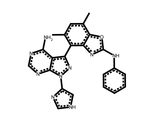 Cc1cc(C)c2oc(Nc3ccccc3)nc2c1-c1nn(-c2c[nH]cn2)c2ncnc(N)c12